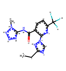 CCc1ncn(-c2nc(C(F)(F)F)ccc2C(=O)Nc2nnnn2C)n1